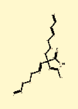 C=CC=CCCCC(C=CC)(C=CCCCC=C)C(=O)O